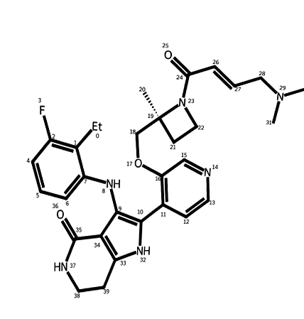 CCc1c(F)cccc1Nc1c(-c2ccncc2OC[C@]2(C)CCN2C(=O)/C=C/CN(C)C)[nH]c2c1C(=O)NCC2